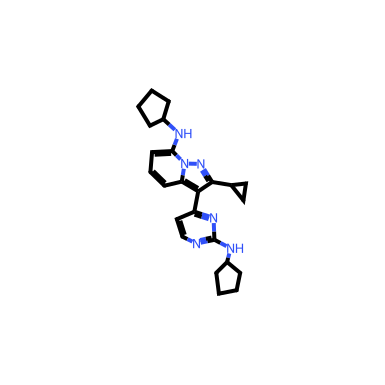 c1cc(NC2CCCC2)n2nc(C3CC3)c(-c3ccnc(NC4CCCC4)n3)c2c1